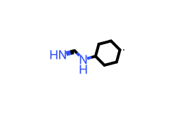 N=CNC1CC[CH]CC1